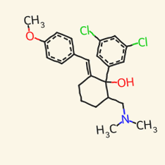 COc1ccc(C=C2CCCC(CN(C)C)C2(O)c2cc(Cl)cc(Cl)c2)cc1